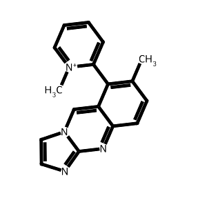 Cc1ccc2nc3nccn3cc2c1-c1cccc[n+]1C